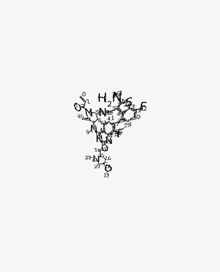 C=CC(=O)N1CCC(N(C)c2nc(OCC3CC(OC)CN3C)nc3c(F)c(-c4ccc(F)c5sc(N)c(C#N)c45)ccc23)C1C